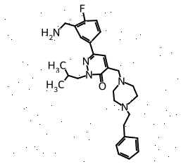 CC(C)Cn1nc(-c2ccc(F)c(CN)c2)cc(CN2CCN(CCc3ccccc3)CC2)c1=O